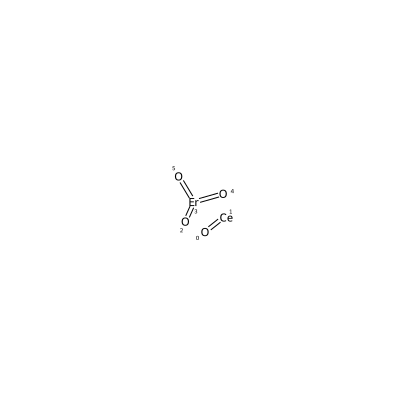 [O]=[Ce].[O]=[Er](=[O])=[O]